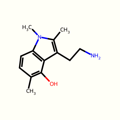 Cc1ccc2c(c1O)c(CCN)c(C)n2C